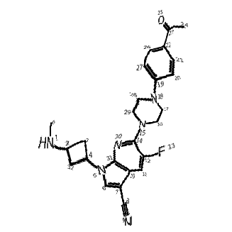 CNC1CC(n2cc(C#N)c3cc(F)c(N4CCN(c5ccc(C(C)=O)cc5)CC4)nc32)C1